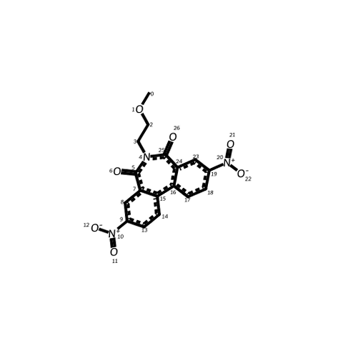 COCCn1c(=O)c2cc([N+](=O)[O-])ccc2c2ccc([N+](=O)[O-])cc2c1=O